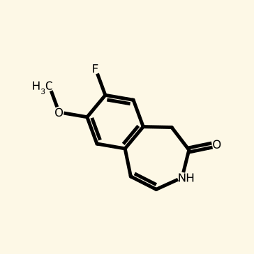 COc1cc2c(cc1F)CC(=O)NC=C2